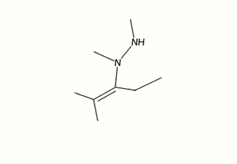 CCC(=C(C)C)N(C)NC